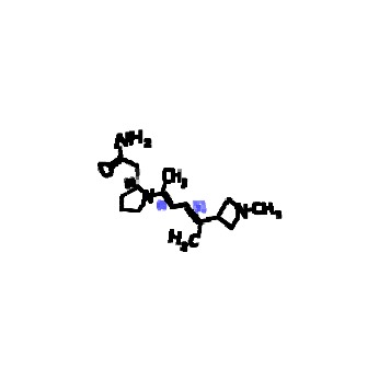 C/C(=C\C=C(/C)N1CCC[C@@H]1CC(N)=O)C1CN(C)C1